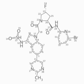 Cc1ncc(-c2ccc3c(c2)c(N[SH](=O)=O)cn3CC(=O)N2C[C@H](F)C[C@H]2C(=O)Nc2cccc(Br)n2)cn1